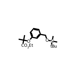 CCOC(=O)C(C)(C)Oc1cccc(CO[Si](C)(C)C(C)(C)C)c1